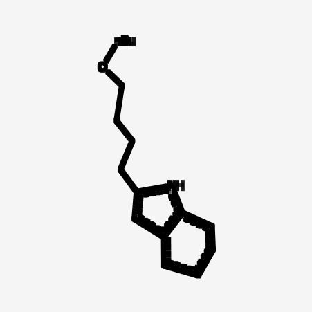 CCCCOCCCCc1cc2ccccc2[nH]1